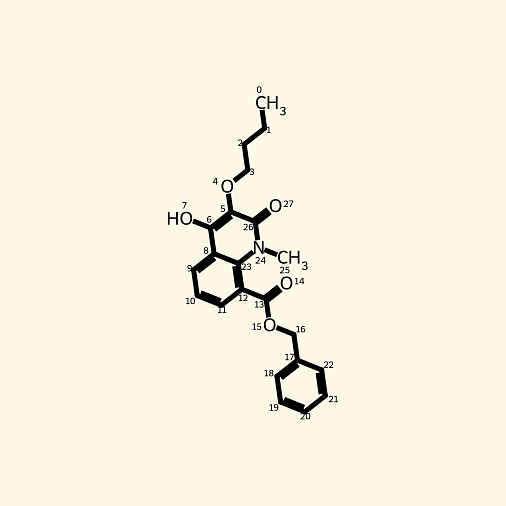 CCCCOc1c(O)c2cccc(C(=O)OCc3ccccc3)c2n(C)c1=O